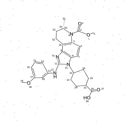 COC(=O)N1c2ccc3c(nc(Nc4cccc(OC)c4)n3C3CCC(C(=O)O)CC3)c2CC[C@@H]1C